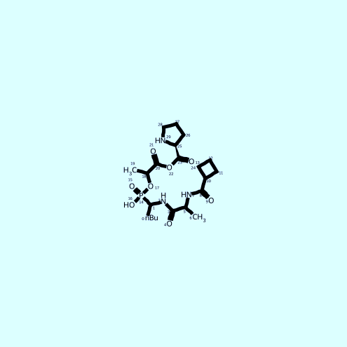 CCCCC(NC(=O)C(C)NC(=O)C1CCC1)P(=O)(O)OC(C)C(=O)OC(=O)[C@@H]1CCCN1